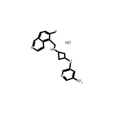 Cl.Fc1ccc2cnccc2c1CNC1CC(Oc2cncc(C(F)(F)F)c2)C1